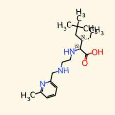 CC[C@@H](CC(C)(C)C)[C@H](NCCNCc1cccc(C)n1)C(=O)O